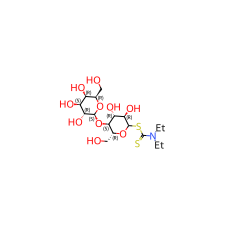 CCN(CC)C(=S)SC1O[C@H](CO)[C@@H](O[C@@H]2O[C@H](CO)[C@H](O)[C@H](O)[C@H]2O)[C@H](O)[C@H]1O